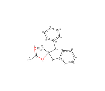 CCC(=O)OC(Cc1ccccc1)(Cc1ccccc1)C(=O)O